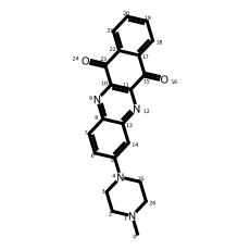 CN1CCN(c2ccc3nc4c(nc3c2)C(=O)c2ccccc2C4=O)CC1